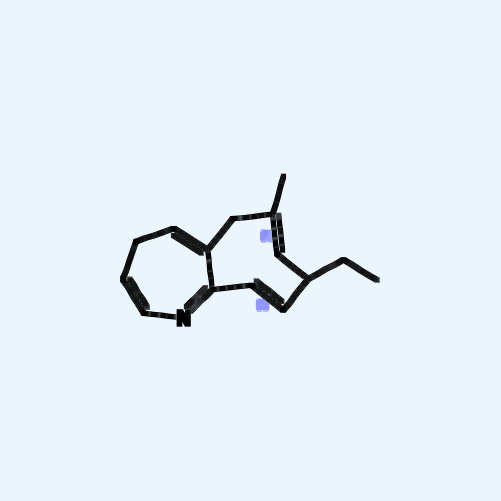 CCC1/C=C/C2=NC=CCC=C2C/C(C)=C/1